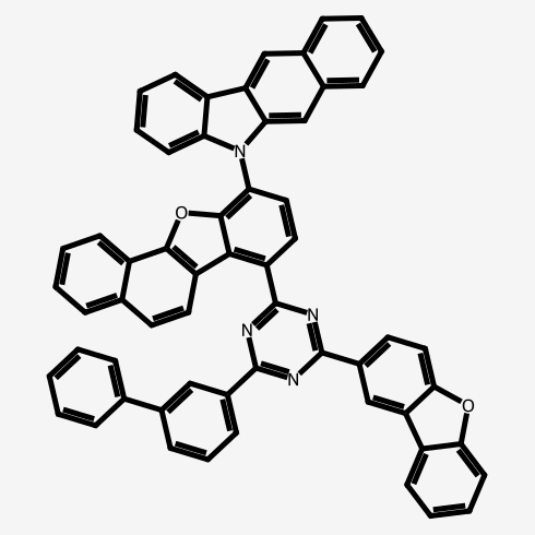 c1ccc(-c2cccc(-c3nc(-c4ccc5oc6ccccc6c5c4)nc(-c4ccc(-n5c6ccccc6c6cc7ccccc7cc65)c5oc6c7ccccc7ccc6c45)n3)c2)cc1